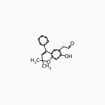 CC1(C)C=C(c2ccccc2)c2cc(CC=O)c(O)cc2O1